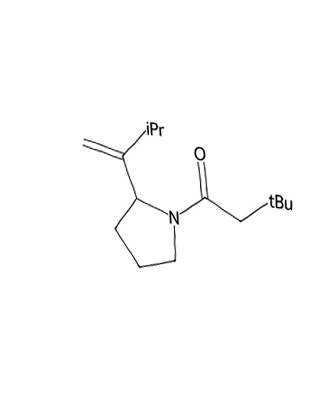 C=C(C(C)C)C1CCCN1C(=O)CC(C)(C)C